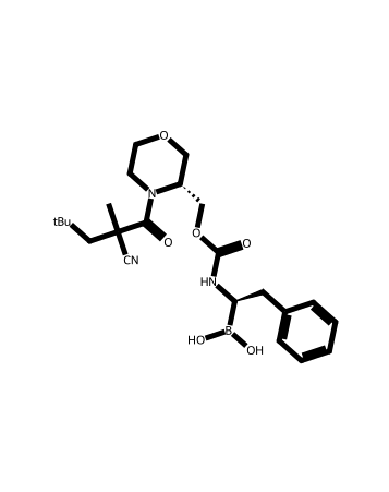 CC(C)(C)CC(C)(C#N)C(=O)N1CCOC[C@@H]1COC(=O)N[C@@H](Cc1ccccc1)B(O)O